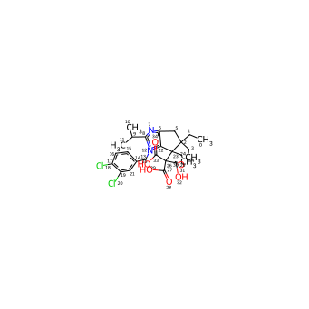 CCC1(CC)Cc2nc(C(C)C)n(Cc3ccc(Cl)c(Cl)c3)c2C1(CC)C(C(=O)O)(C(=O)O)C(=O)O